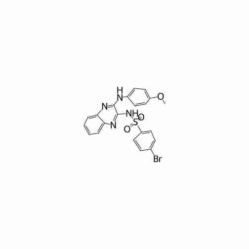 COc1ccc(Nc2nc3ccccc3nc2NS(=O)(=O)c2ccc(Br)cc2)cc1